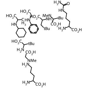 CC(C)(C)C(N)C(=O)O.CC(C)(C)CC(N)C(=O)O.CC(NC1CCCCC1)C(=O)O.CCC(C)C(NC)C(=O)O.CNCC(=O)O.NC(=O)NCCCC(N)C(=O)O.NCCCC(N)C(=O)O.O=C(O)CNc1ccccc1